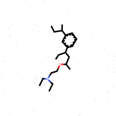 CCC(C)c1cccc(C(CC)CC(C)OCCN(CC)CC)c1